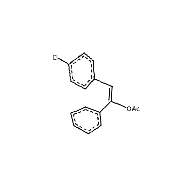 CC(=O)OC(=Cc1ccc(Cl)cc1)c1ccccc1